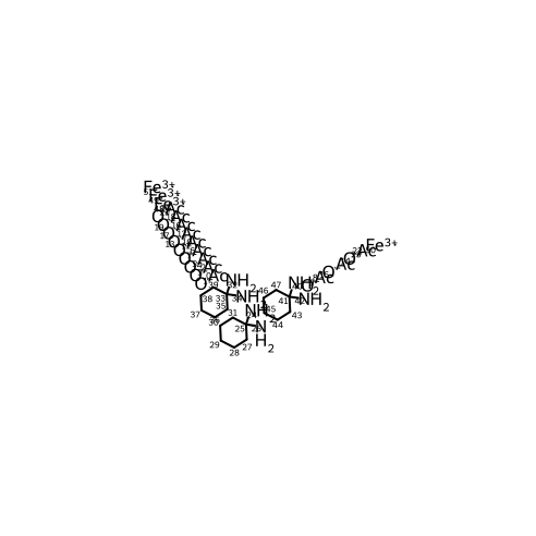 CC(=O)[O-].CC(=O)[O-].CC(=O)[O-].CC(=O)[O-].CC(=O)[O-].CC(=O)[O-].CC(=O)[O-].CC(=O)[O-].CC(=O)[O-].CC(=O)[O-].CC(=O)[O-].CC(=O)[O-].NC1(N)CCCCC1.NC1(N)CCCCC1.NC1(N)CCCCC1.[Fe+3].[Fe+3].[Fe+3].[Fe+3]